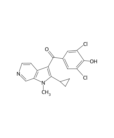 Cn1c(C2CC2)c(C(=O)c2cc(Cl)c(O)c(Cl)c2)c2ccncc21